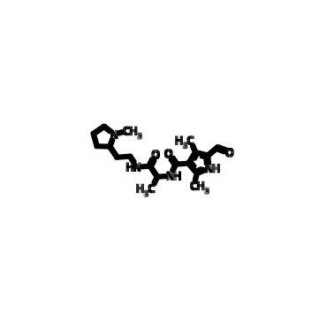 Cc1[nH]c(C=O)c(C)c1C(=O)NC(C)C(=O)NCCC1CCCN1C